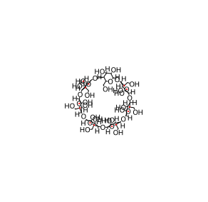 OCC1OC2O[C@@H]3C(CO)O[C@H](O[C@@H]4C(CO)O[C@H](O[C@@H]5C(CO)O[C@H](O[C@@H]6C(CO)O[C@H](O[C@@H]7C(CO)O[C@H](O[C@@H]8C(CO)O[C@H](O[C@H]1[C@H](O)[C@@H]2O)C(O)[C@H]8O)C(O)[C@H]7O)C(O)[C@H]6O)C(O)[C@H]5O)C(O)[C@H]4O)C(O)[C@H]3O